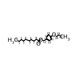 CCCCCCCCCC(=O)OCc1ccc(OCCC)cc1